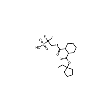 CCC1(OC(=O)C2CCCCC2C(=O)OCC(F)(F)S(=O)(=O)O)CCCC1